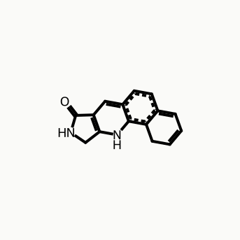 O=C1NCC2=C1C=c1ccc3c(c1N2)CC=CC=3